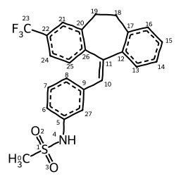 CS(=O)(=O)Nc1cccc(/C=C2/c3ccccc3CCc3cc(C(F)(F)F)ccc32)c1